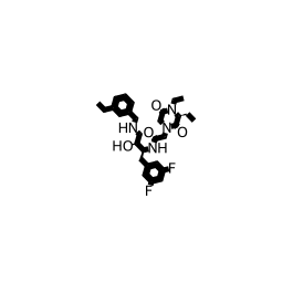 CCc1cccc(CNC[C@@H](O)[C@H](Cc2cc(F)cc(F)c2)NC(=O)CN2CC(=O)N(CC)[C@H](CC)C2=O)c1